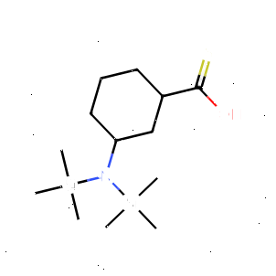 C[Si](C)(C)N(C1CCCC(C(O)=S)C1)[Si](C)(C)C